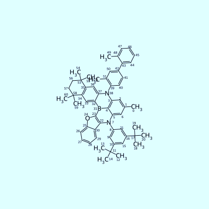 Cc1cc2c3c(c1)N(c1cc(C(C)(C)C)cc(C(C)(C)C)c1)c1c(oc4ccccc14)B3c1cc3c(cc1N2c1ccc(-c2ccccc2C)cc1C)C(C)(C)CCC3(C)C